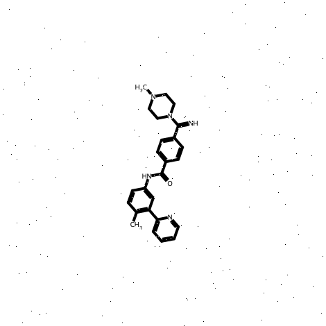 Cc1ccc(NC(=O)c2ccc(C(=N)N3CCN(C)CC3)cc2)cc1-c1ccccn1